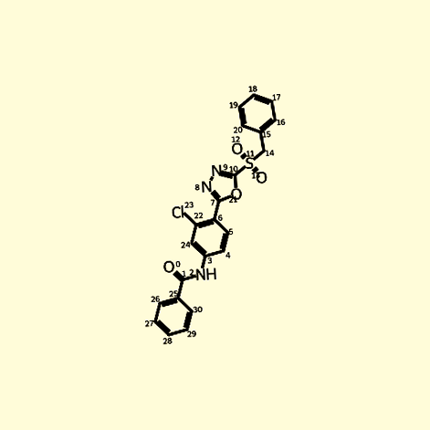 O=C(Nc1ccc(-c2nnc(S(=O)(=O)Cc3ccccc3)o2)c(Cl)c1)c1ccccc1